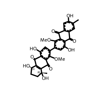 COc1c(-c2cc(O)c3c(c2OC)C(=O)c2cc(O)c(C)cc2C3=O)cc(O)c2c1C(=O)C1=C(C2=O)[C@@H](O)CC[C@@]1(C)O